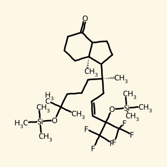 CC(C)(CCC[C@](C)(C/C=C\C(O[Si](C)(C)C)(C(F)(F)F)C(F)(F)F)C1CCC2C(=O)CCC[C@@]21C)O[Si](C)(C)C